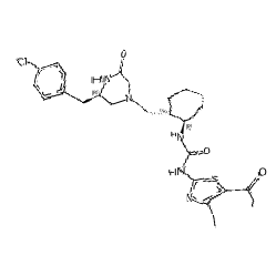 CC(=O)c1sc(NC(=O)N[C@@H]2CCCC[C@H]2CN2CC(=O)N[C@H](Cc3ccc(Cl)cc3)C2)nc1C